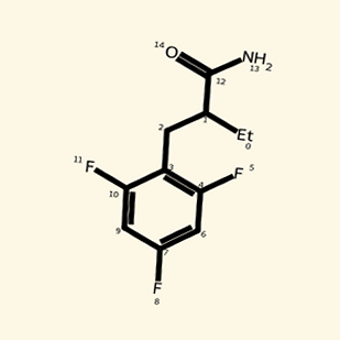 CCC(Cc1c(F)cc(F)cc1F)C(N)=O